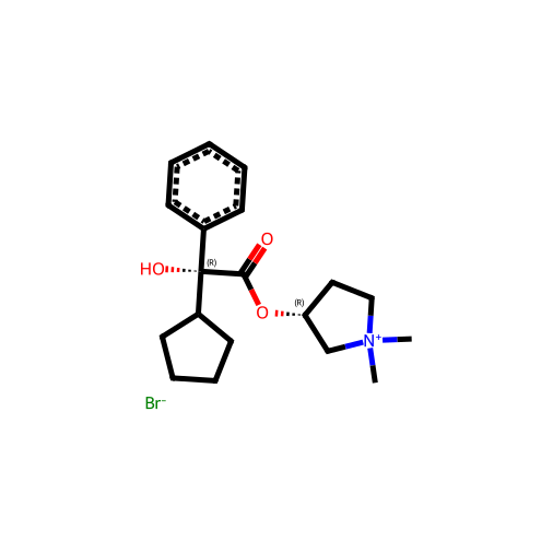 C[N+]1(C)CC[C@@H](OC(=O)[C@](O)(c2ccccc2)C2CCCC2)C1.[Br-]